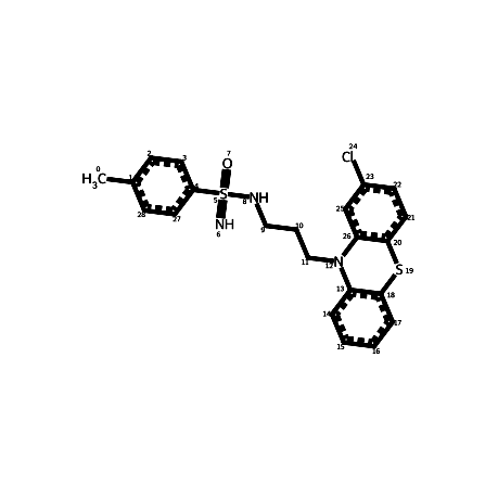 Cc1ccc(S(=N)(=O)NCCCN2c3ccccc3Sc3ccc(Cl)cc32)cc1